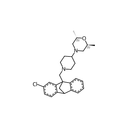 C[C@H]1CN(C2CCN(CC34CC(c5ccccc53)c3ccc(Cl)cc34)CC2)C[C@H](C)O1